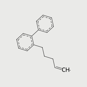 [CH]=CCCCc1ccccc1-c1ccccc1